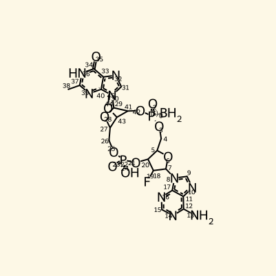 B[P@]1(=O)OCC2OC(n3cnc4c(N)ncnc43)C(F)C2OP(=O)(O)OCC2OC(n3cnc4c(=O)[nH]c(C)nc43)C(O1)C2OC